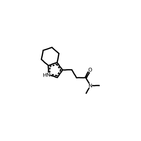 CN(C)C(=O)CCc1c[nH]c2c1CCCC2